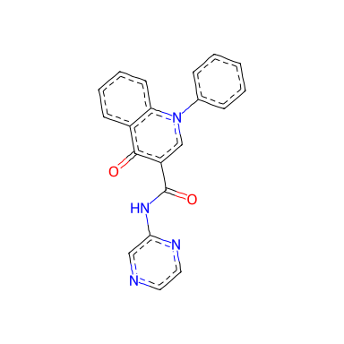 O=C(Nc1cnccn1)c1cn(-c2ccccc2)c2ccccc2c1=O